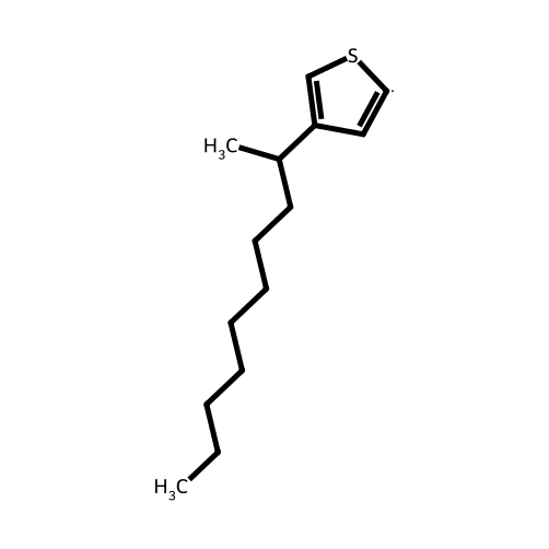 CCCCCCCCC(C)c1c[c]sc1